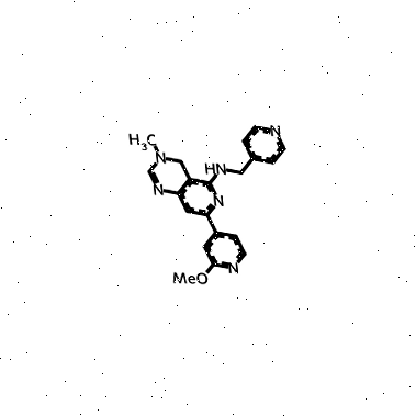 COc1cc(-c2cc3c(c(NCc4ccncc4)n2)CN(C)C=N3)ccn1